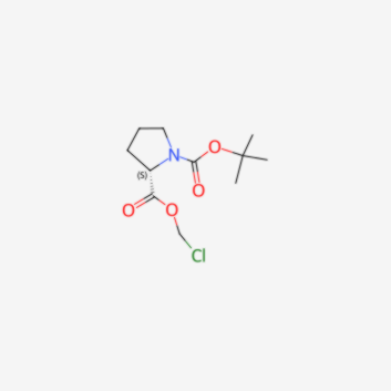 CC(C)(C)OC(=O)N1CCC[C@H]1C(=O)OCCl